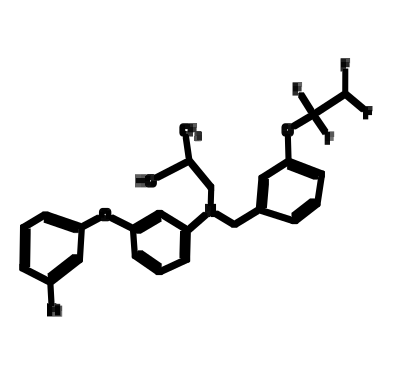 CCc1cccc(Oc2cccc(N(Cc3cccc(OC(F)(F)C(F)F)c3)CC(O)C(F)(F)F)c2)c1